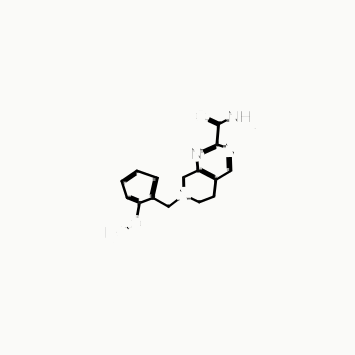 COc1ccccc1CN1CCc2[c]nc(C(N)=O)nc2C1